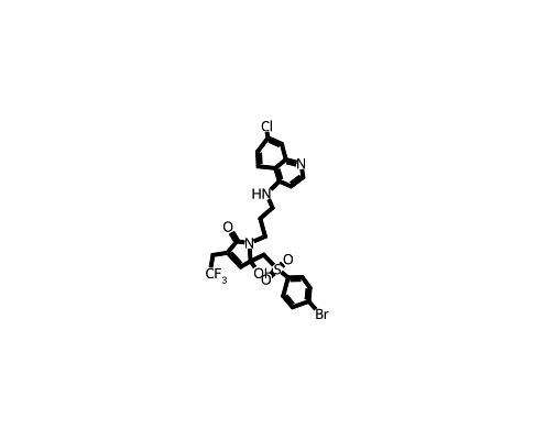 O=C1C(CC(F)(F)F)=CC(O)(CS(=O)(=O)c2ccc(Br)cc2)N1CCCNc1ccnc2cc(Cl)ccc12